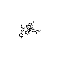 CCn1cc(-c2ccncc2)c(-c2cccc(N(COC(=O)CN(C)C)S(=O)(=O)c3cc(F)ccc3F)c2C)n1